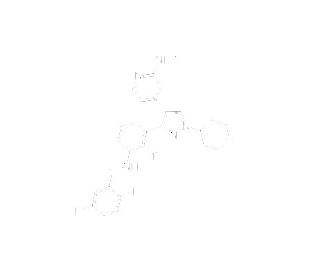 CC(=O)Nc1cc(-c2cn(C3CCOCC3)nc2-c2cccc(N[S+]([O-])c3cc(F)ccc3F)c2F)ccn1